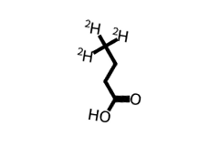 [2H]C([2H])([2H])CCC(=O)O